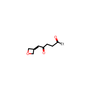 CCC(=O)CCC(=O)C=C1COC1